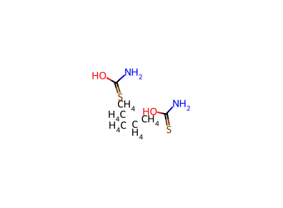 C.C.C.C.C.NC(O)=S.NC(O)=S